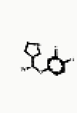 CC(C)[C@H](Oc1ccc(Cl)c(Cl)c1)C1CCNC1